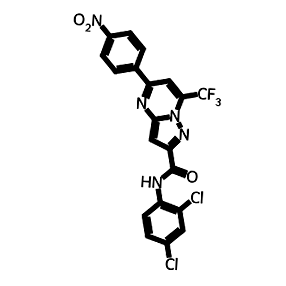 O=C(Nc1ccc(Cl)cc1Cl)c1cc2nc(-c3ccc([N+](=O)[O-])cc3)cc(C(F)(F)F)n2n1